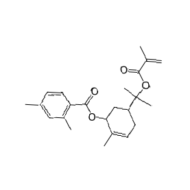 C=C(C)C(=O)OC(C)(C)C1CC=C(C)C(OC(=O)c2ccc(C)cc2C)C1